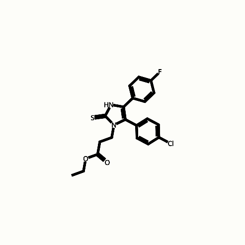 CCOC(=O)CCn1c(-c2ccc(Cl)cc2)c(-c2ccc(F)cc2)[nH]c1=S